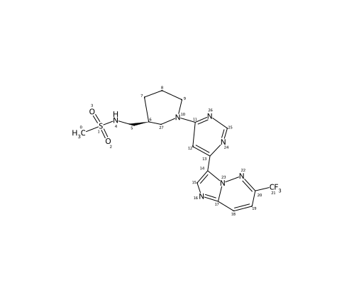 CS(=O)(=O)NC[C@H]1CCCN(c2cc(-c3cnc4ccc(C(F)(F)F)nn34)ncn2)C1